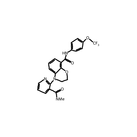 CNC(=O)c1cccnc1N1CCOc2c(C(=O)Nc3ccc(OC(F)(F)F)cc3)cccc21